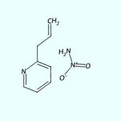 C=CCc1ccccn1.N[N+](=O)[O-]